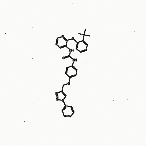 CC(C)(C)c1ccccc1Oc1ncccc1NC(=O)Nc1ccc(OCc2cn(-c3ccccc3)nn2)cc1